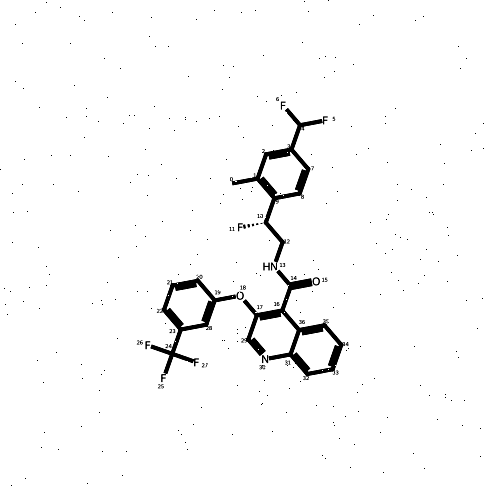 Cc1cc(C(F)F)ccc1[C@@H](F)CNC(=O)c1c(Oc2cccc(C(F)(F)F)c2)cnc2ccccc12